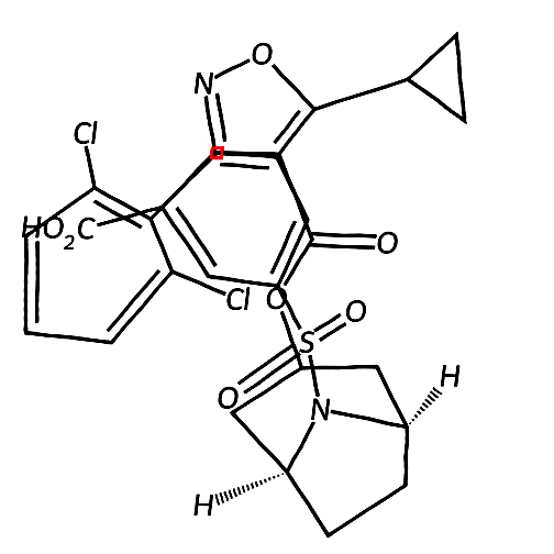 O=C(O)c1cccc(S(=O)(=O)N2[C@@H]3CC[C@H]2CC(OC(=O)c2c(-c4c(Cl)cccc4Cl)noc2C2CC2)C3)c1